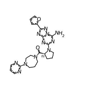 Nc1nc(N2CCC[C@H]2C(=O)N2CCCN(c3ncccn3)CC2)nc2nc(-c3ccco3)nn12